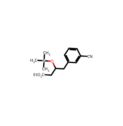 CCOC(=O)CC(Cc1cccc(C#N)c1)O[Si](C)(C)C